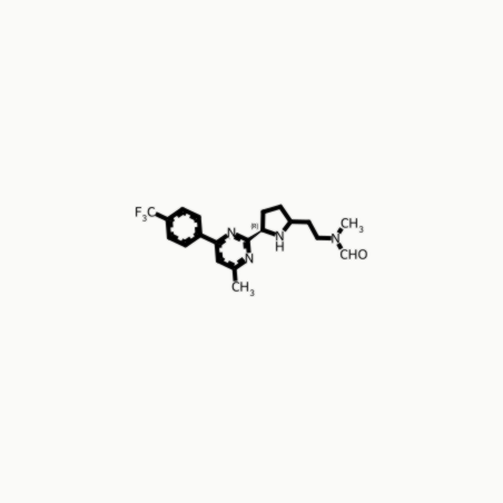 Cc1cc(-c2ccc(C(F)(F)F)cc2)nc([C@H]2CCC(CCN(C)C=O)N2)n1